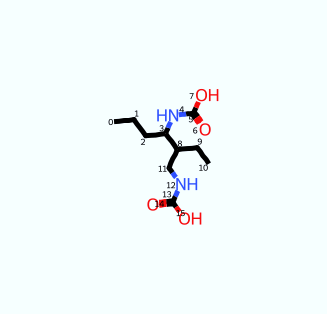 CCCC(NC(=O)O)C(CC)CNC(=O)O